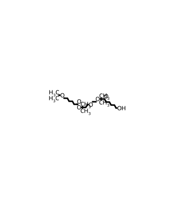 CC(C)OCCCCCC(=O)OC(C)(C)CCOCCOC(C)(C)C(=O)CCCCCO